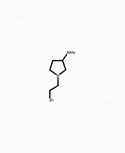 CNC1CCN(CCC(C)C)C1